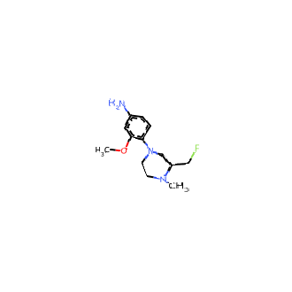 COc1cc(N)ccc1N1CCN(C)C(CF)C1